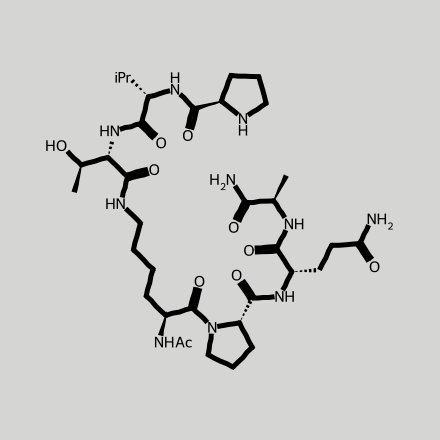 CC(=O)N[C@@H](CCCCNC(=O)[C@@H](NC(=O)[C@@H](NC(=O)[C@H]1CCCN1)C(C)C)[C@@H](C)O)C(=O)N1CCC[C@H]1C(=O)N[C@@H](CCC(N)=O)C(=O)N[C@H](C)C(N)=O